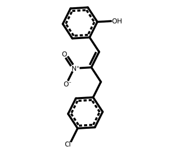 O=[N+]([O-])C(=Cc1ccccc1O)Cc1ccc(Cl)cc1